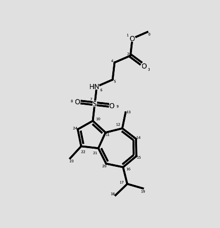 COC(=O)CCNS(=O)(=O)C1=C2C(C)=C=C=C(C(C)C)C=C2C(C)=C1